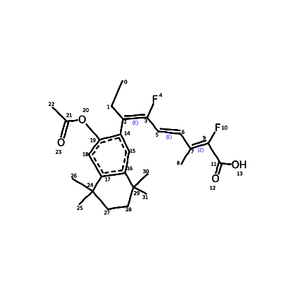 CC/C(=C(F)/C=C/C(C)=C(\F)C(=O)O)c1cc2c(cc1OC(C)=O)C(C)(C)CCC2(C)C